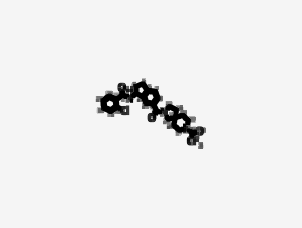 O=C(NC1CCc2ccc(C(=O)N3CCC4(CCN(C(=O)C(F)(F)F)CC4)C3)cc21)c1ccccc1Cl